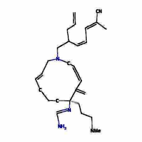 C=CCC(/C=C\C=C(/C)C#N)CN1CC=CC(=C)[C@@](CCCNC)(/N=C/N)CCC/C=C/C1